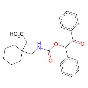 O=C(O)CC1(CNC(=O)OC(C(=O)c2ccccc2)c2ccccc2)CCCCC1